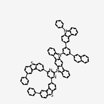 c1ccc(-c2ccc3sc4ccc(-c5cc(-c6ccc7sc8ccc(-c9ccccc9)cc8c7c6)nc(-n6c7ccccc7c7cc8c(cc76)c6ccccc6n8-c6cc(-c7ccc8ccccc8c7)cc(-c7ccc8c(c7)c7ccccc7n8-c7ccccc7)c6)n5)cc4c3c2)cc1